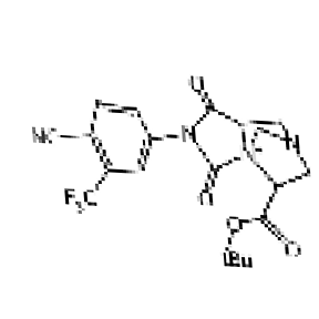 CC(C)(C)OC(=O)C1CN2CC3C(=O)N(c4ccc(C#N)c(C(F)(F)F)c4)C(=O)[N+]13C2